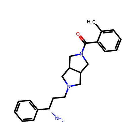 Cc1ccccc1C(=O)N1CC2CN(CC[C@H](N)c3ccccc3)CC2C1